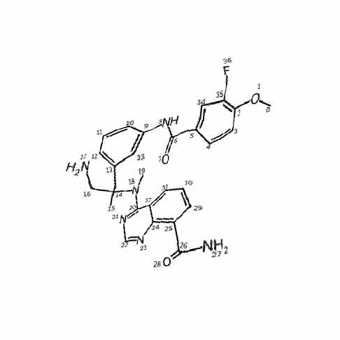 COc1ccc(C(=O)Nc2cccc(C(C)(CN)N(C)c3ncnc4c(C(N)=O)cccc34)c2)cc1F